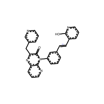 O=c1c(Cc2cccnc2)nc2cccnc2n1-c1cccc(/C=C/c2cccnc2O)c1